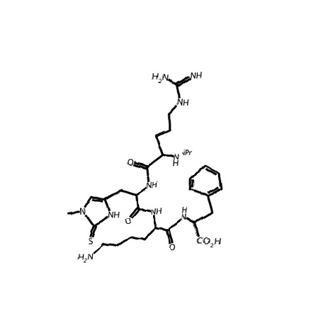 CC(C)NC(CCCNC(=N)N)C(=O)NC(Cc1cn(C)c(=S)[nH]1)C(=O)NC(CCCCN)C(=O)NC(Cc1ccccc1)C(=O)O